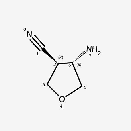 N#C[C@@H]1COC[C@H]1N